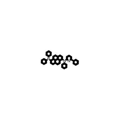 c1ccc(-c2cccc(N(c3ccccc3)c3ccc4ccc5c(N(c6ccccc6)c6ccccc6)ccc6ccc3c4c65)n2)cc1